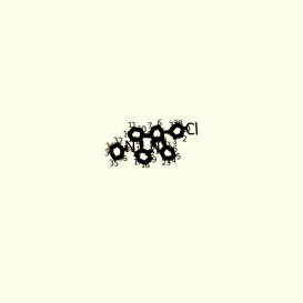 Clc1ccc(-c2ccc3c4cccc5c4c4c(cccc4n4c6ccccc6c2c34)n5-c2ccccc2)cc1